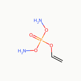 C=COP(=O)(ON)ON